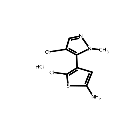 Cl.Cn1ncc(Cl)c1-c1cc(N)sc1Cl